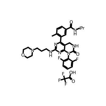 Cc1ccc(C(=O)NC(C)C)cc1-c1nc(NCCCN2CCOCC2)nc2c1CNC(=O)N2c1c(F)cccc1F.O=C(O)C(F)(F)F